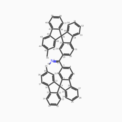 CN=C(c1ccc2c(c1)C1(c3ccccc3-c3ccc(C)cc31)c1ccccc1-2)c1ccc2c(c1)C1(c3ccccc3-c3ccc(C)cc31)c1ccccc1-2